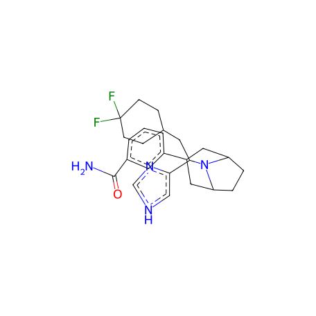 NC(=O)c1cccc(C2CC3CCC(C2)N3C(CC2CCC(F)(F)CC2)c2c[nH]cn2)c1